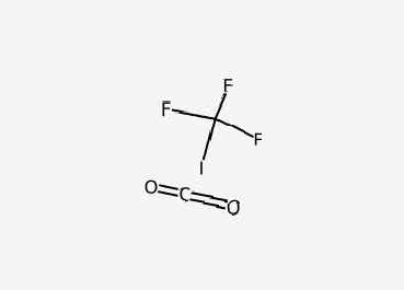 FC(F)(F)I.O=C=O